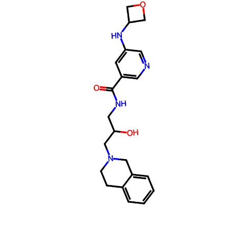 O=C(NCC(O)CN1CCc2ccccc2C1)c1cncc(NC2COC2)c1